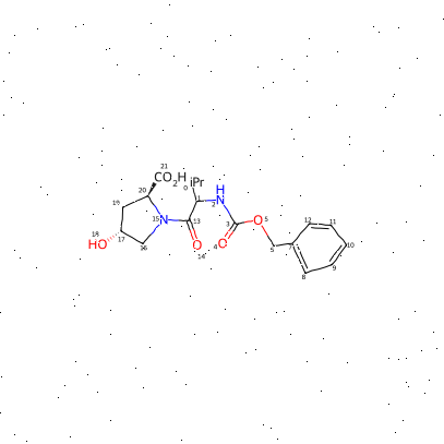 CC(C)C(NC(=O)OCc1ccccc1)C(=O)N1C[C@H](O)C[C@H]1C(=O)O